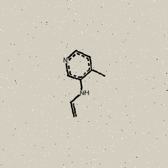 C=CNc1cnccc1C